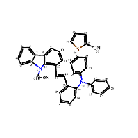 CCCCCCn1c2ccccc2c2cccc(C=Cc3ccccc3N(c3ccccc3)c3ccccc3)c21.N#Cc1cccs1